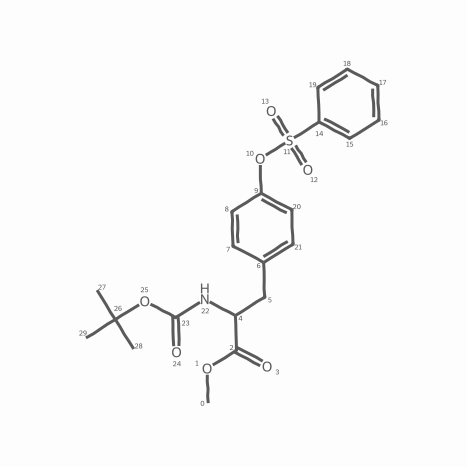 COC(=O)C(Cc1ccc(OS(=O)(=O)c2ccccc2)cc1)NC(=O)OC(C)(C)C